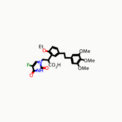 CCOc1ccc(CCc2cc(OC)c(OC)c(OC)c2)cc1C(Cn1cc(F)c(=O)[nH]c1=O)C(=O)O